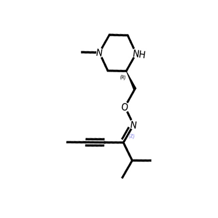 CC#C/C(=N\OC[C@H]1CN(C)CCN1)C(C)C